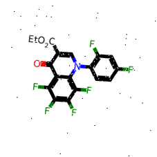 CCOC(=O)c1cn(-c2ccc(F)cc2F)c2c(F)c(F)c(F)c(F)c2c1=O